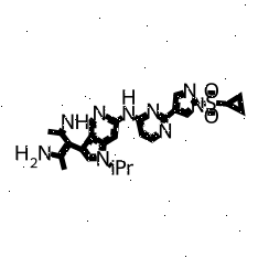 CC(=N)/C(=C(/C)N)c1cn(C(C)C)c2cc(Nc3ccnc(-c4cnn(S(=O)(=O)C5CC5)c4)n3)ncc12